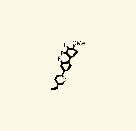 C=CC1CCC(c2ccc(-c3ccc(OC)c(F)c3F)c(F)c2)OC1